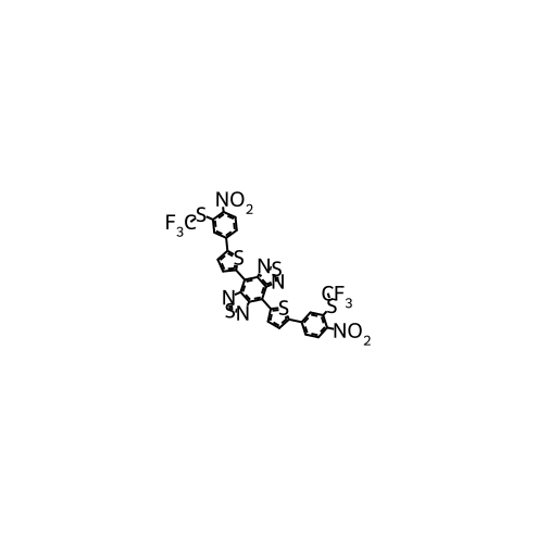 O=[N+]([O-])c1ccc(-c2ccc(-c3c4c(c(-c5ccc(-c6ccc([N+](=O)[O-])c(SC(F)(F)F)c6)s5)c5nsnc35)N=S=N4)s2)cc1SC(F)(F)F